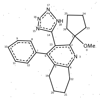 COC1(c2nc3c(c(-c4ccccc4)c2-c2nnn[nH]2)CCCC3)CCCC1